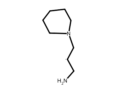 NC[CH]CN1CCCCC1